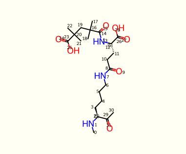 CN[C@@H](CCCCNC(=O)CC[C@H](NC(=O)C(C)(C)CC(C)(C)C(=O)O)C(=O)O)C(C)=O